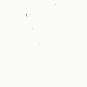 O=C(COc1ccc(-c2ccccc2)cc1)c1ccc(O)cc1O